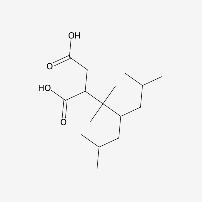 CC(C)CC(CC(C)C)C(C)(C)C(CC(=O)O)C(=O)O